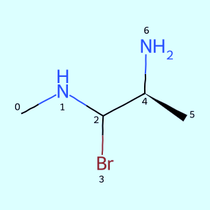 CNC(Br)[C@H](C)N